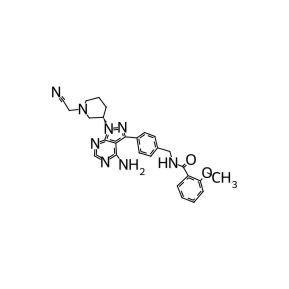 COc1ccccc1C(=O)NCc1ccc(-c2nn([C@@H]3CCCN(CC#N)C3)c3ncnc(N)c23)cc1